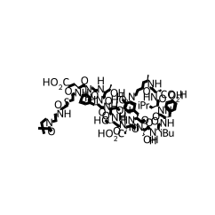 CC[C@H](C)[C@H](NC(=O)[C@H](CO)NC(=O)[C@H](Cc1ccc(O)cc1)NC(=O)[C@H](CC(=O)O)NC(=O)[C@H](CO)NC(=O)[C@@H](NC(=O)[C@H](Cc1ccccc1)NC(=O)[C@@H](NC(=O)CNC(=O)[C@H](CCC(=O)O)NC(=O)CSCC(=O)NCCN1CCC(C)(C)C1=O)[C@@H](C)O)[C@@H](C)O)C(=O)N[C@@H](Cc1ccc(O)cc1)C(=O)N[C@@H](CC(C)C)C(=O)N[C@@H](CC(=O)O)C(=O)N[C@H](C)CCCCN